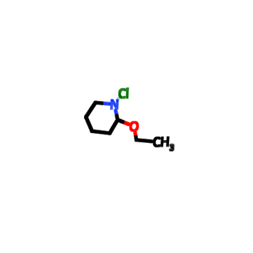 CCOC1CCCCN1Cl